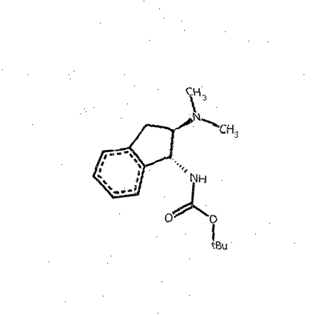 CN(C)[C@@H]1Cc2ccccc2[C@H]1NC(=O)OC(C)(C)C